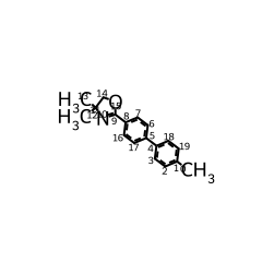 Cc1ccc(-c2ccc(C3=NC(C)(C)CO3)cc2)cc1